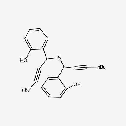 CCCCC#CC(SC(C#CCCCC)c1ccccc1O)c1ccccc1O